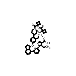 CCc1cc(O[C@H]2CCc3cccc(-c4cccc(-n5ncc(C(=O)O)c5CC)n4)c32)ccc1C1CCN(C(=O)C2(OC(=O)C3(O)CCC3)CCC2)CC1